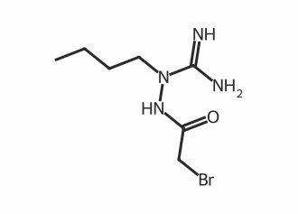 CCCCN(NC(=O)CBr)C(=N)N